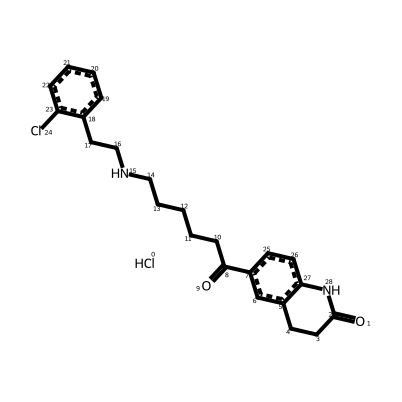 Cl.O=C1CCc2cc(C(=O)CCCCCNCCc3ccccc3Cl)ccc2N1